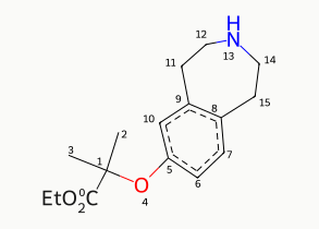 CCOC(=O)C(C)(C)Oc1ccc2c(c1)CCNCC2